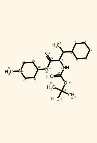 CC(C1CCCCC1)[C@@H](NC(=O)OC(C)(C)C)C(=S)NC1CCN(C)CC1